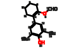 CC(C)(C)c1cc(C2=C(OC=O)CCCC2)cc(C(C)(C)C)c1O